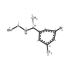 C[C@@H](NSC(C)(C)C)c1cc(Br)cc(C(F)(F)F)c1